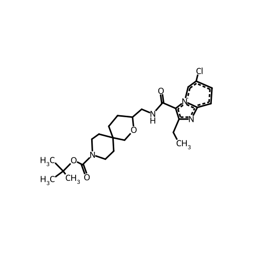 CCc1nc2ccc(Cl)cn2c1C(=O)NCC1CCC2(CCN(C(=O)OC(C)(C)C)CC2)CO1